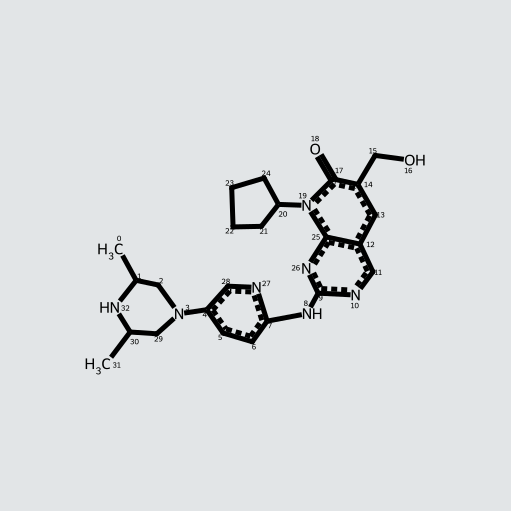 CC1CN(c2ccc(Nc3ncc4cc(CO)c(=O)n(C5CCCC5)c4n3)nc2)CC(C)N1